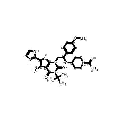 COc1ccc(C(Cn2c(=O)n(C(C)(C)C)c(=O)c3c(C)c(-c4ncco4)sc32)OC2CCN(C(C)=O)CC2)cc1